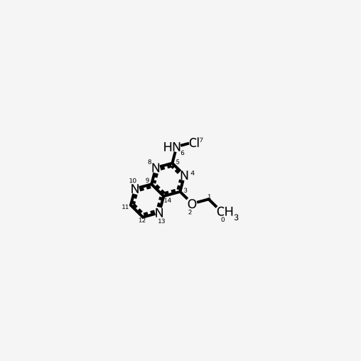 CCOc1nc(NCl)nc2nccnc12